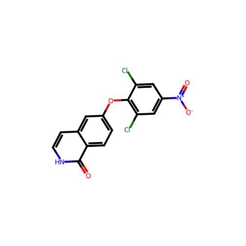 O=c1[nH]ccc2cc(Oc3c(Cl)cc([N+](=O)[O-])cc3Cl)ccc12